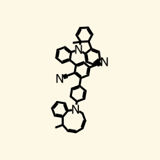 CC1/C=C\C=C/CN(C2C=CC(c3cc(C#N)cc(-c4ccccc4N4c5ccccc5C5C=CC=CC54C)c3C#N)=CC2)c2ccccc21